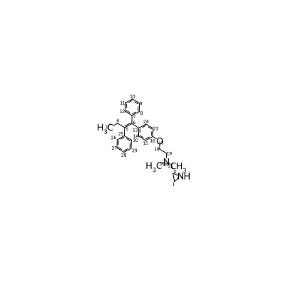 C1CN1.CC/C(=C(\c1ccccc1)c1ccc(OCCN(C)C)cc1)c1ccccc1